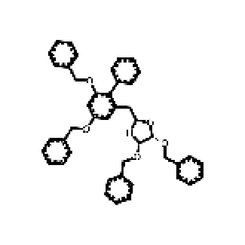 c1ccc(COc2cc(CC3O[C@H](OCc4ccccc4)[C@@H](OCc4ccccc4)O3)c(-c3ccccc3)c(OCc3ccccc3)c2)cc1